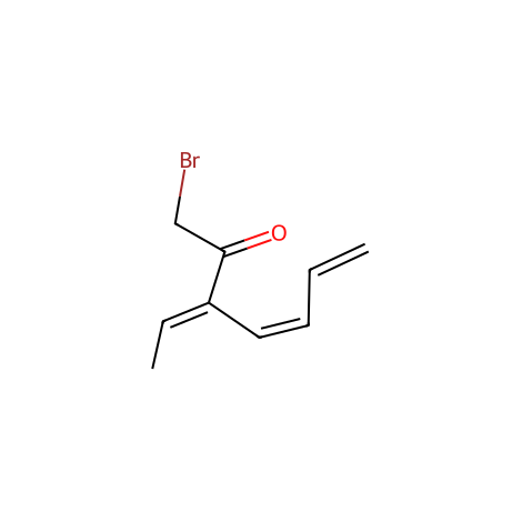 C=C/C=C\C(=C/C)C(=O)CBr